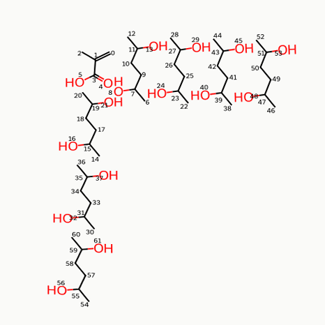 C=C(C)C(=O)O.CC(O)CCC(C)O.CC(O)CCC(C)O.CC(O)CCC(C)O.CC(O)CCC(C)O.CC(O)CCC(C)O.CC(O)CCC(C)O.CC(O)CCC(C)O